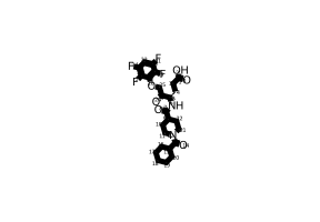 O=C(O)CC[C@H](NC(=O)C1CCN(C(=O)C2CCCCC2)CC1)C(=O)COc1c(F)c(F)cc(F)c1F